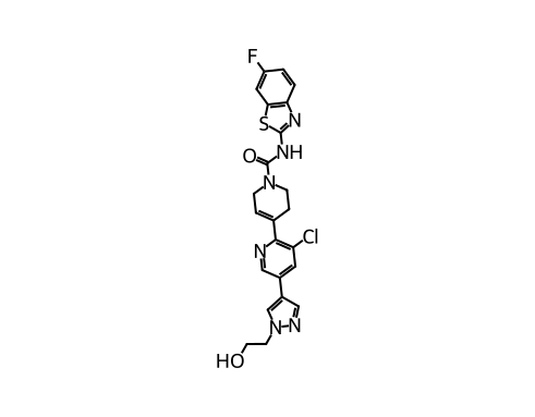 O=C(Nc1nc2ccc(F)cc2s1)N1CC=C(c2ncc(-c3cnn(CCO)c3)cc2Cl)CC1